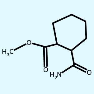 COC(=O)C1CCCCC1C(N)=O